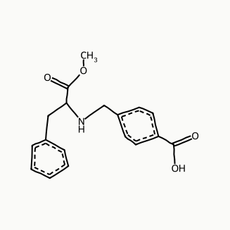 COC(=O)C(Cc1ccccc1)NCc1ccc(C(=O)O)cc1